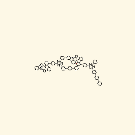 c1ccc(-c2ccc(-c3ccc(-c4nc(-c5ccccc5)nc(-c5ccc(-c6cccc7c6-c6ccccc6C76c7ccccc7-n7c8ccc(-c9cccc(-c%10nc(-c%11ccc(-c%12cccc%13c%12-c%12ccccc%12C%13%12c%13ccccc%13-n%13c%14ccccc%14c%14cccc%12c%14%13)cc%11)nc(-c%11cccc(-c%12ccc(-c%13ccccc%13)cc%12)c%11)n%10)c9)cc8c8cccc6c87)cc5)n4)cc3)cc2)cc1